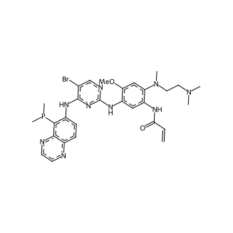 C=CC(=O)Nc1cc(Nc2ncc(Br)c(Nc3ccc4nccnc4c3P(C)C)n2)c(OC)cc1N(C)CCN(C)C